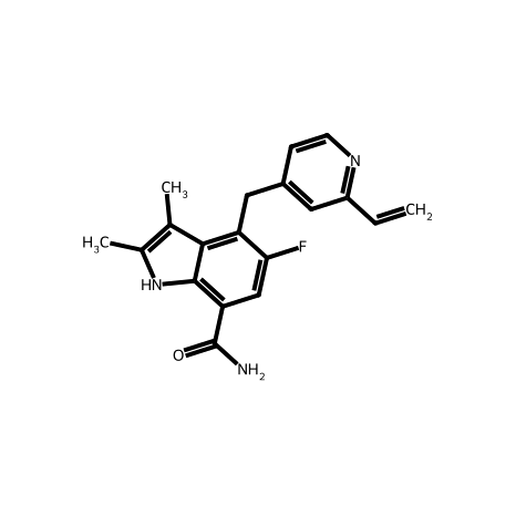 C=Cc1cc(Cc2c(F)cc(C(N)=O)c3[nH]c(C)c(C)c23)ccn1